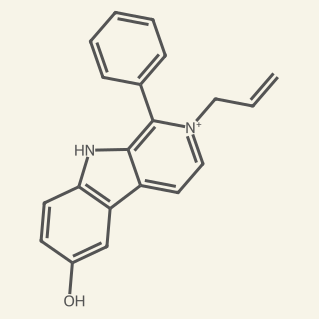 C=CC[n+]1ccc2c([nH]c3ccc(O)cc32)c1-c1ccccc1